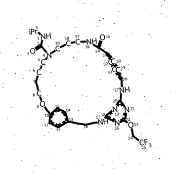 CC(C)NC(=O)N1CCCCOc2ccc(cc2)CNc2nc(nc(OCC(F)(F)F)n2)Nc2ccc(cc2)C(=O)NCCC1